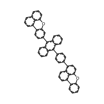 c1ccc2c(c1)Oc1ccc(-c3ccc(-c4c5ccccc5c(-c5ccc6c(c5)Oc5cccc7cccc-6c57)c5ccccc45)cc3)c3cccc-2c13